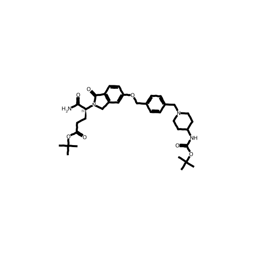 CC(C)(C)OC(=O)CC[C@@H](C(N)=O)N1Cc2cc(OCc3ccc(CN4CCC(NC(=O)OC(C)(C)C)CC4)cc3)ccc2C1=O